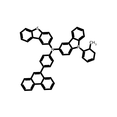 CC1CC=CC=C1n1c2ccccc2c2cc(N(c3ccc(-c4cc5ccccc5c5ccccc45)cc3)c3ccc4sc5ccccc5c4c3)ccc21